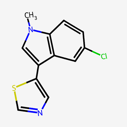 Cn1cc(-c2cncs2)c2cc(Cl)ccc21